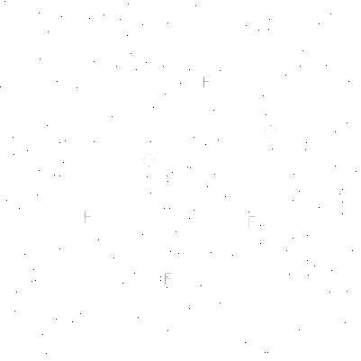 O=C(F)c1oc(F)c(F)c1F